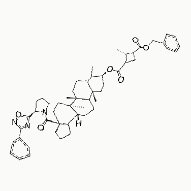 CC1C2CC[C@]3(C)C(CC[C@@H]4C5CCC[C@]5(C(=O)N5CCC[C@@H]5c5nc(-c6ccccc6)no5)CC[C@]43C)[C@@]2(C)CC[C@@H]1OC(=O)C1CC(C(=O)OCc2ccccc2)[C@H]1C